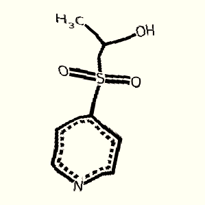 CC(O)S(=O)(=O)c1ccncc1